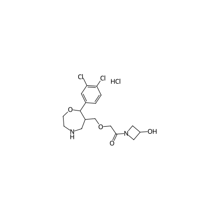 Cl.O=C(COCC1CNCCOC1c1ccc(Cl)c(Cl)c1)N1CC(O)C1